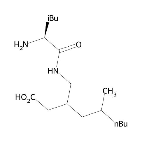 CCCCC(C)CC(CNC(=O)[C@@H](N)C(C)CC)CC(=O)O